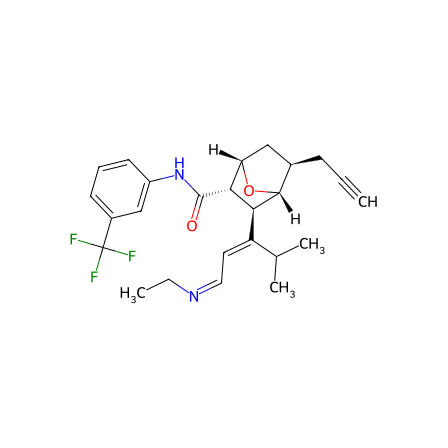 C#CC[C@@H]1C[C@@H]2O[C@H]1[C@@H](/C(=C/C=N\CC)C(C)C)[C@@H]2C(=O)Nc1cccc(C(F)(F)F)c1